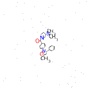 CC1=CC(c2ccccc2)N(c2ccc(C(=O)N3CCC(N(C)C)C3)cc2)O1